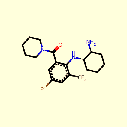 N[C@H]1CCCC[C@H]1Nc1c(C(=O)N2CCCCC2)cc(Br)cc1C(F)(F)F